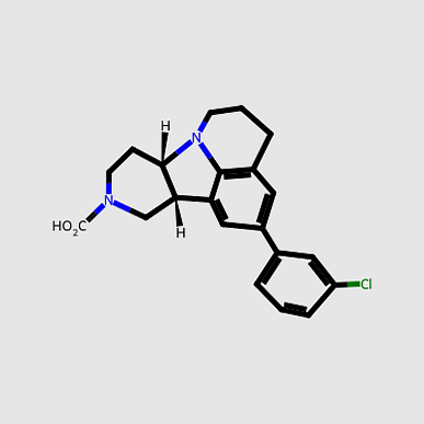 O=C(O)N1CC[C@H]2[C@@H](C1)c1cc(-c3cccc(Cl)c3)cc3c1N2CCC3